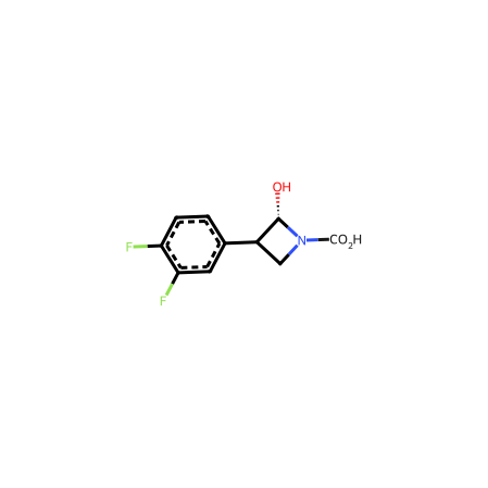 O=C(O)N1CC(c2ccc(F)c(F)c2)[C@@H]1O